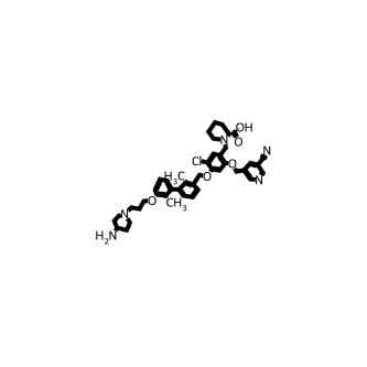 Cc1c(COc2cc(OCc3cncc(C#N)c3)c(CN3CCCC[C@H]3C(=O)O)cc2Cl)cccc1-c1cccc(OCCCN2CCC(N)CC2)c1C